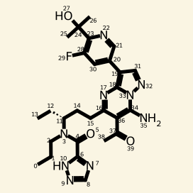 CCCN(C(=O)c1ncn[nH]1)[C@H](CC)CCc1nc2c(-c3cnc(C(C)(C)O)c(F)c3)cnn2c(N)c1C(C)=O